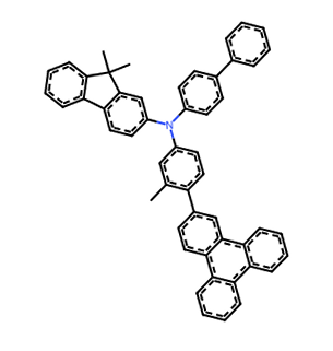 Cc1cc(N(c2ccc(-c3ccccc3)cc2)c2ccc3c(c2)C(C)(C)c2ccccc2-3)ccc1-c1ccc2c3ccccc3c3ccccc3c2c1